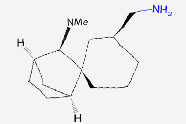 CN[C@@H]1[C@@H]2CC[C@@H](C2)[C@]12CCC[C@H](CN)C2